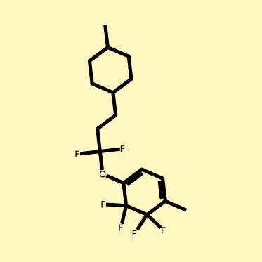 CC1=CC=C(OC(F)(F)CCC2CCC(C)CC2)C(F)(F)C1(F)F